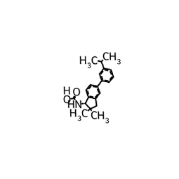 CC(C)c1cccc(-c2ccc3c(c2)CC(C)(C)[C@H]3NC(=O)O)c1